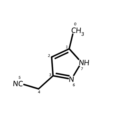 Cc1cc(CC#N)n[nH]1